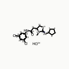 CN1/C(=N/C2CCCC2)SCC1CC(=O)Nc1cc(Cl)cc(Cl)c1.Cl